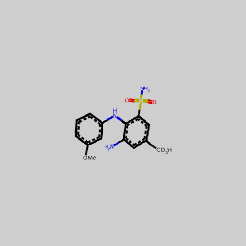 COc1cccc(Nc2c(N)cc(C(=O)O)cc2S(N)(=O)=O)c1